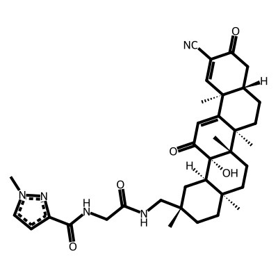 Cn1ccc(C(=O)NCC(=O)NC[C@@]2(C)CC[C@]3(C)CC[C@@]4(C)[C@]5(C)CC[C@H]6CC(=O)C(C#N)=C[C@]6(C)C5=CC(=O)[C@]4(O)[C@@H]3C2)n1